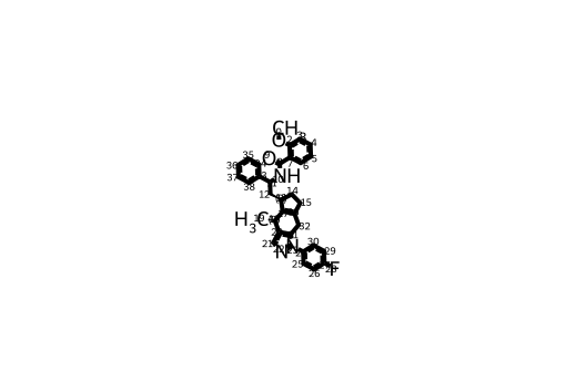 COc1ccccc1C(=O)NC(C[C@H]1CCC2=C1[C@@H](C)c1cnn(-c3ccc(F)cc3)c1C2)c1ccccc1